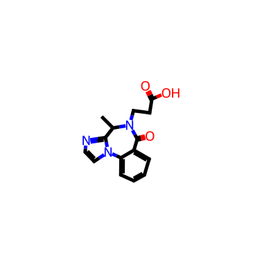 CC1c2nccn2-c2ccccc2C(=O)N1CCC(=O)O